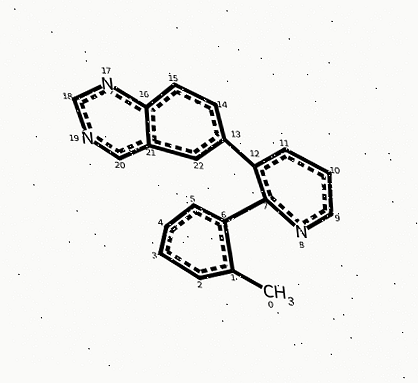 Cc1ccccc1-c1ncccc1-c1ccc2ncncc2c1